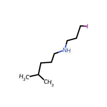 CC(C)CCCNCCCI